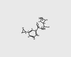 CC(NC(=O)c1cc(C2CC2)cnn1)C1CNC1